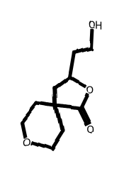 O=C1OC(CCO)CC12CCOCC2